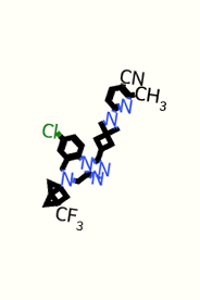 Cc1nc(N2CC3(CC(c4nnc5n4-c4ccc(Cl)cc4CN(C46CC7(C(F)(F)F)CC47C6)C5)C3)C2)ccc1C#N